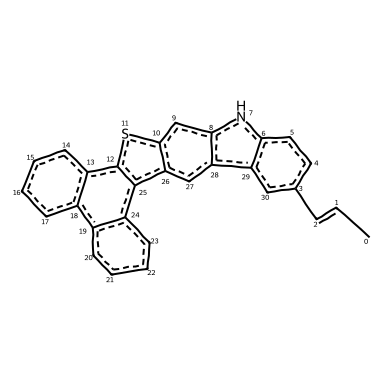 C/C=C/c1ccc2[nH]c3cc4sc5c6ccccc6c6ccccc6c5c4cc3c2c1